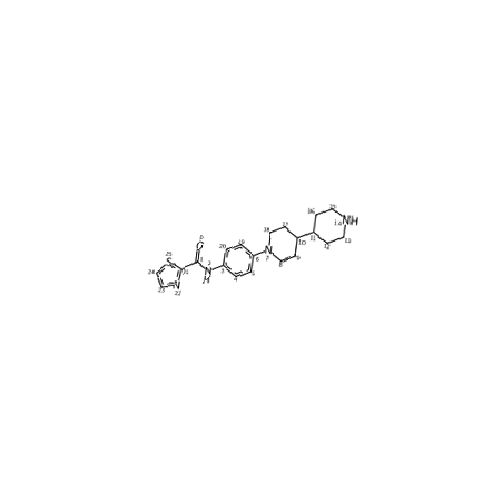 O=C(Nc1ccc(N2CCC(C3CCNCC3)CC2)cc1)c1nccs1